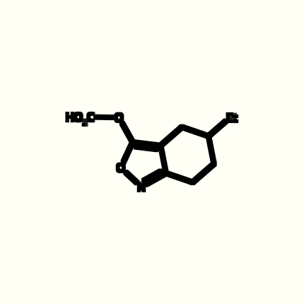 CCC1CCc2noc(OC(=O)O)c2C1